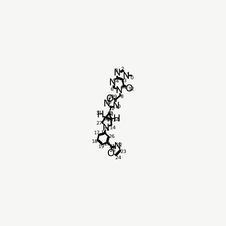 Cn1cnc2ncn(Cc3nc([C@H]4[C@@H]5CN(c6cccc(-c7ncco7)c6)C[C@@H]54)no3)c(=O)c21